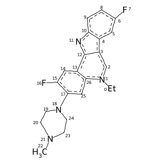 CCn1cc2c3cc(F)ccc3nc-2c2cc(F)c(N3CCN(C)CC3)cc21